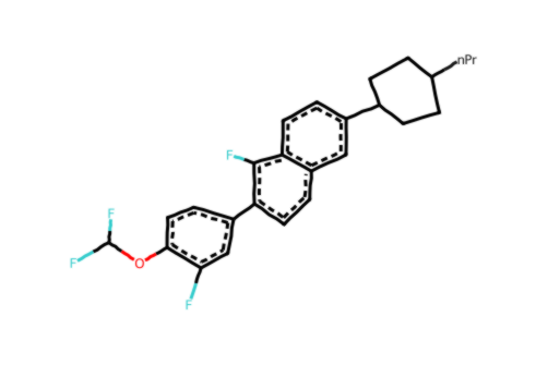 CCCC1CCC(c2ccc3c(F)c(-c4ccc(OC(F)F)c(F)c4)ccc3c2)CC1